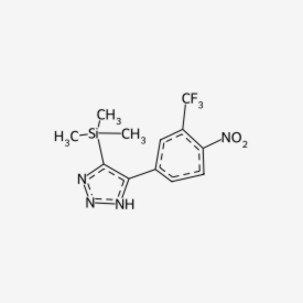 C[Si](C)(C)c1nn[nH]c1-c1ccc([N+](=O)[O-])c(C(F)(F)F)c1